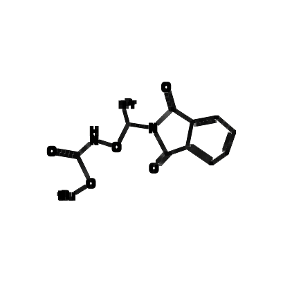 CCCC(ONC(=O)OC(C)(C)C)N1C(=O)c2ccccc2C1=O